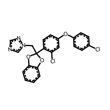 Clc1ccc(Oc2ccc(C3(Cn4cncn4)Oc4ccccc4O3)c(Cl)c2)cc1